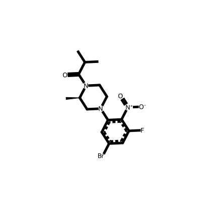 CC(C)C(=O)N1CCN(c2cc(Br)cc(F)c2[N+](=O)[O-])C[C@H]1C